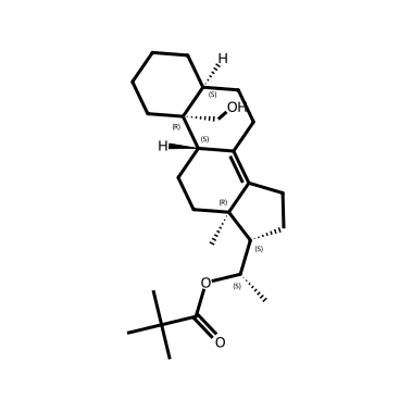 C[C@H](OC(=O)C(C)(C)C)[C@H]1CCC2=C3CC[C@@H]4CCCC[C@]4(CO)[C@H]3CC[C@@]21C